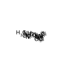 CNC(=O)c1cc(Oc2ccc(NC(=O)c3ccccc3Nc3ccccc3)cc2)ccn1